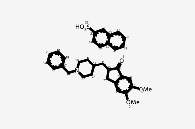 COc1cc2c(cc1OC)C(=O)C(CC1CCN(Cc3ccccc3)CC1)C2.O=S(=O)(O)c1ccc2ccccc2c1